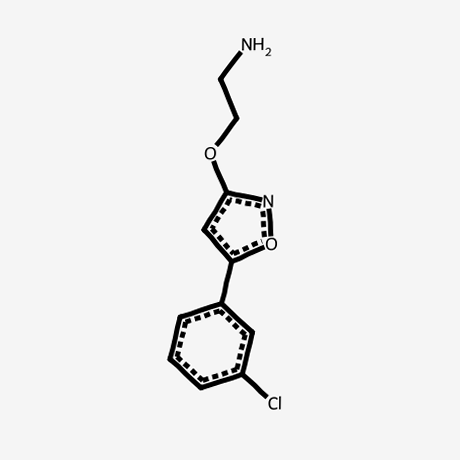 NCCOc1cc(-c2cccc(Cl)c2)on1